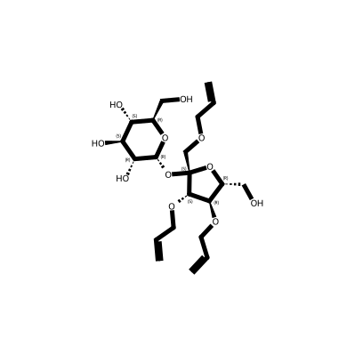 C=CCOC[C@@]1(O[C@H]2O[C@H](CO)[C@@H](O)[C@H](O)[C@H]2O)O[C@H](CO)[C@@H](OCC=C)[C@@H]1OCC=C